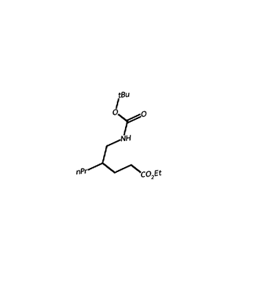 CCCC(CCC(=O)OCC)CNC(=O)OC(C)(C)C